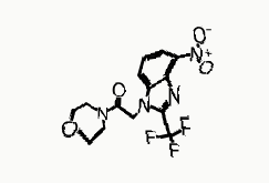 O=C(Cn1c(C(F)(F)F)nc2c([N+](=O)[O-])cccc21)N1CCOCC1